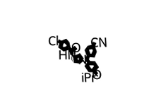 CC(C)Oc1ccc(C(c2ccc(C#N)cc2)N2CC[C@@H](NC(=O)c3ccc(Cl)cc3)C2)cc1